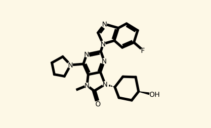 Cn1c(=O)n([C@H]2CC[C@H](O)CC2)c2nc(-n3cnc4ccc(F)cc43)nc(N3CCCC3)c21